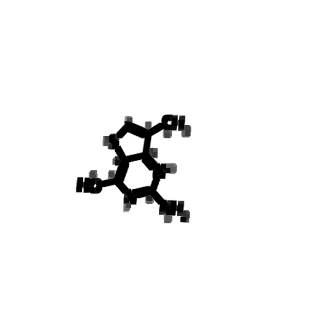 Cc1csc2c(O)nc(N)nc12